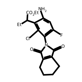 CCOC(=O)C(CC)c1c(N)cc(F)c(N2C(=O)C3=C(CCCC3)C2=O)c1Cl